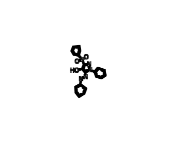 O=S(=O)(c1ccccc1)c1nn(-c2ccccc2)c(N=Nc2ccccc2)c1O